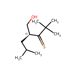 CC(C)C[C@@H](CO)C(=S)C(C)(C)C